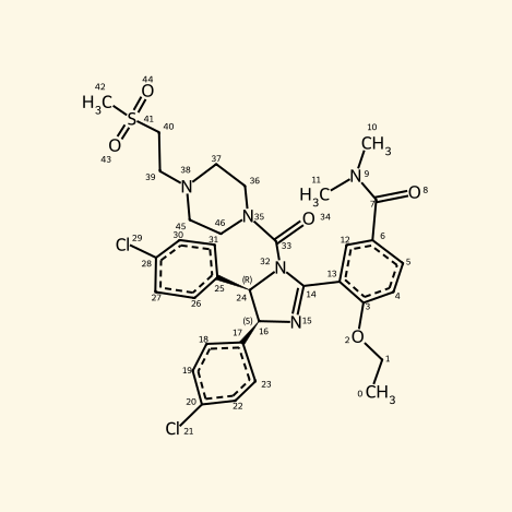 CCOc1ccc(C(=O)N(C)C)cc1C1=N[C@@H](c2ccc(Cl)cc2)[C@@H](c2ccc(Cl)cc2)N1C(=O)N1CCN(CCS(C)(=O)=O)CC1